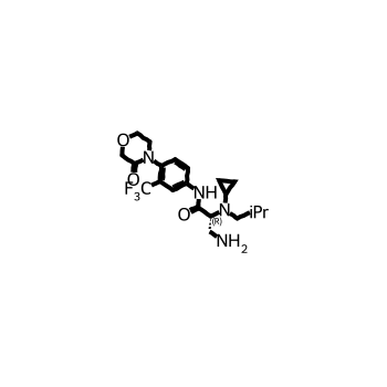 CC(C)CN(C1CC1)[C@H](CN)C(=O)Nc1ccc(N2CCOCC2=O)c(C(F)(F)F)c1